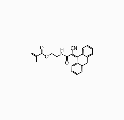 C=C(C)C(=O)OCCNC(=O)C(C#N)=C1c2ccccc2Cc2ccccc21